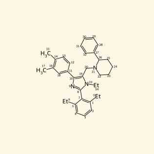 CCc1cccc(CC)c1-c1nc(-c2ccc(C)c(C)c2)c(CN2CCCCC2c2ccccc2)n1CC